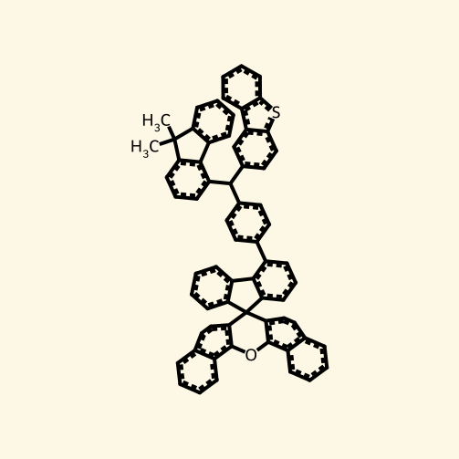 CC1(C)c2ccccc2-c2c(C(c3ccc(-c4cccc5c4-c4ccccc4C54c5ccc6ccccc6c5Oc5c4ccc4ccccc54)cc3)c3ccc4sc5ccccc5c4c3)cccc21